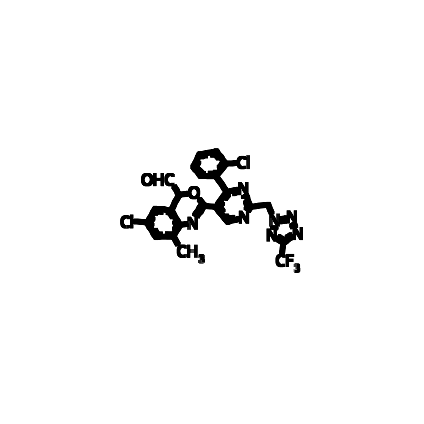 Cc1cc(Cl)cc2c1N=C(c1cnc(Cn3nnc(C(F)(F)F)n3)nc1-c1ccccc1Cl)OC2C=O